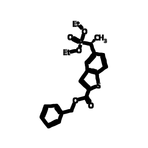 CCOP(=O)(OCC)[C@H](C)c1ccc2sc(C(=O)OCc3ccccc3)cc2c1